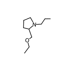 CCCN1CCCC1COCC